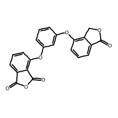 O=C1OCc2c(Oc3cccc(Oc4cccc5c4C(=O)OC5=O)c3)cccc21